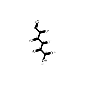 O=CC(=O)C(=O)C(=O)C(=O)C(=O)O